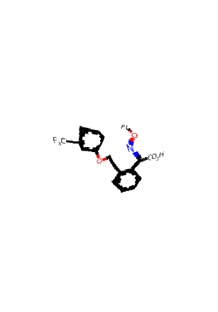 CCON=C(C(=O)O)c1ccccc1COc1cccc(C(F)(F)F)c1